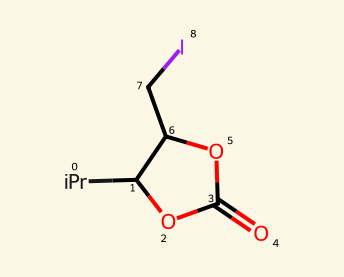 CC(C)C1OC(=O)OC1CI